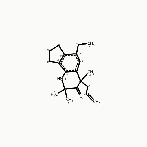 C=CCC1(C)C(=O)C(C)(C)Nc2c1cc(CC)c1c2CCC1